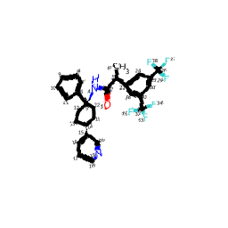 CC(C(=O)N[C@]1(c2ccccc2)CC[C@@H](c2cccnc2)CC1)c1cc(C(F)(F)F)cc(C(F)(F)F)c1